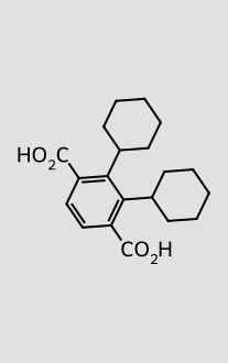 O=C(O)c1ccc(C(=O)O)c(C2CCCCC2)c1C1CCCCC1